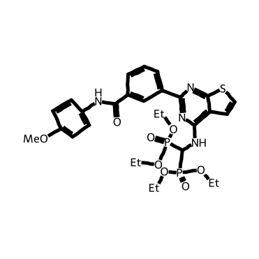 CCOP(=O)(OCC)C(Nc1nc(-c2cccc(C(=O)Nc3ccc(OC)cc3)c2)nc2sccc12)P(=O)(OCC)OCC